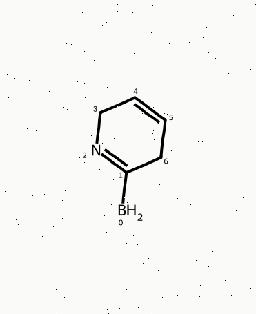 BC1=NCC=CC1